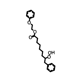 O=C(CCCCCCC(Cc1ccccc1)OO)OCCOc1ccccc1